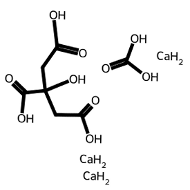 O=C(O)CC(O)(CC(=O)O)C(=O)O.O=C(O)O.[CaH2].[CaH2].[CaH2]